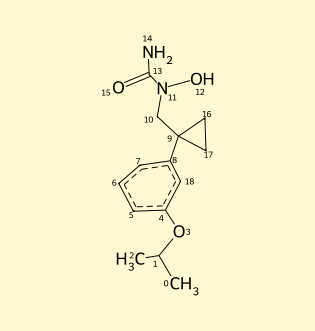 CC(C)Oc1cccc(C2(CN(O)C(N)=O)CC2)c1